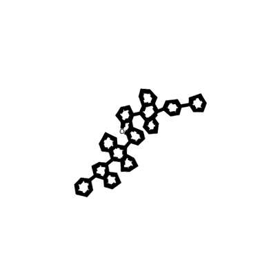 c1ccc(-c2ccc(-c3c4ccccc4c(-c4cccc5oc6c(-c7c8ccccc8c(-c8ccc(-c9ccccc9)c9ccccc89)c8ccccc78)cccc6c45)c4ccccc34)cc2)cc1